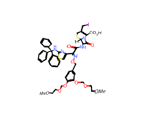 COCCOCOc1ccc(CON=C(C(=O)N[C@@H]2C(=O)N3C(C(=O)O)=C(CI)CS[C@@H]23)c2csc(NC(c3ccccc3)(c3ccccc3)c3ccccc3)n2)cc1OCOCCOC